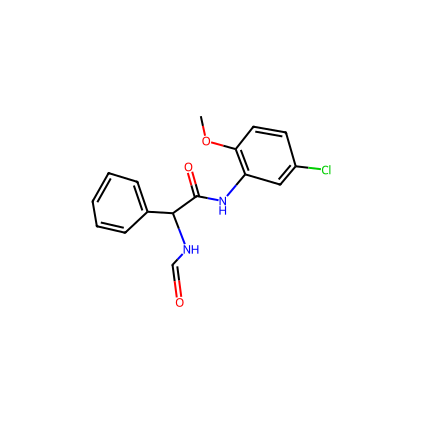 COc1ccc(Cl)cc1NC(=O)C(NC=O)c1ccccc1